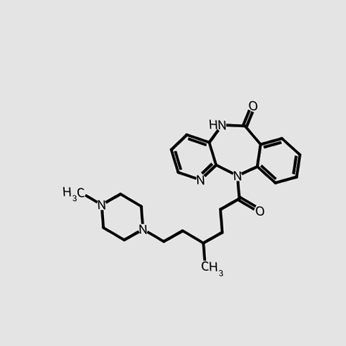 CC(CCC(=O)N1c2ccccc2C(=O)Nc2cccnc21)CCN1CCN(C)CC1